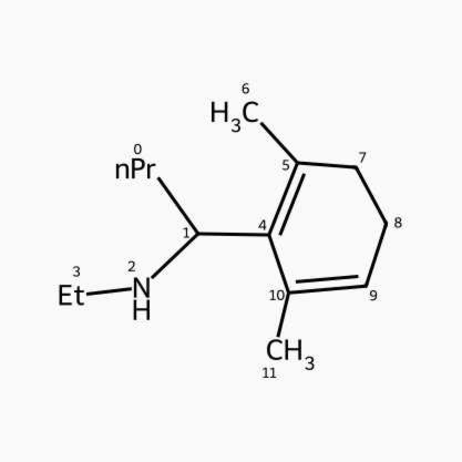 CCCC(NCC)C1=C(C)CCC=C1C